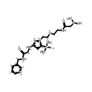 CCCN(CCC)CC(=O)NCCOCCn1nc(NCC(=O)NCc2cccnc2)cc1[Si](F)(C(C)(C)C)C(C)(C)C